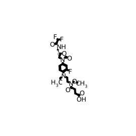 CCN(CCN(OC)C(=O)CCC(=O)O)c1ccc(N2C[C@H](CNC(=O)C(F)F)OC2=O)cc1F